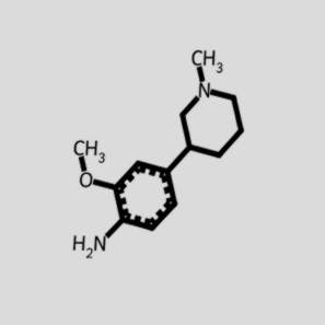 COc1cc(C2CCCN(C)C2)ccc1N